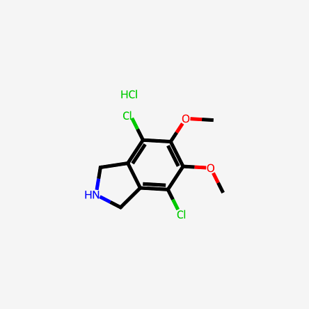 COc1c(Cl)c2c(c(Cl)c1OC)CNC2.Cl